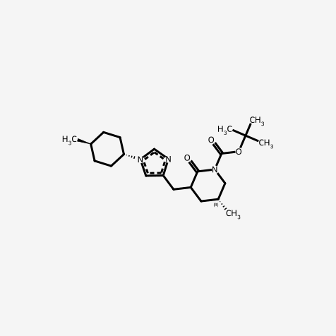 C[C@@H]1CC(Cc2cn([C@H]3CC[C@H](C)CC3)cn2)C(=O)N(C(=O)OC(C)(C)C)C1